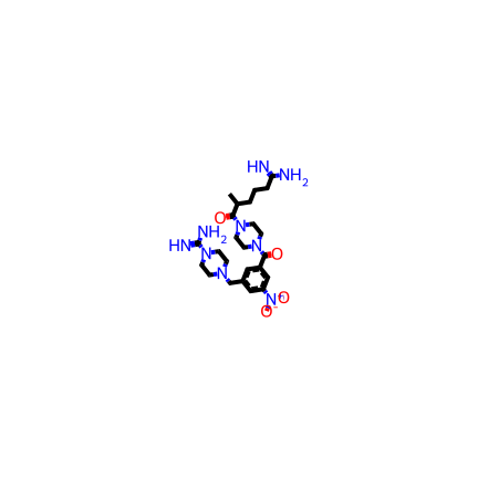 CC(CCCC(=N)N)C(=O)N1CCN(C(=O)c2cc(CN3CCN(C(=N)N)CC3)cc([N+](=O)[O-])c2)CC1